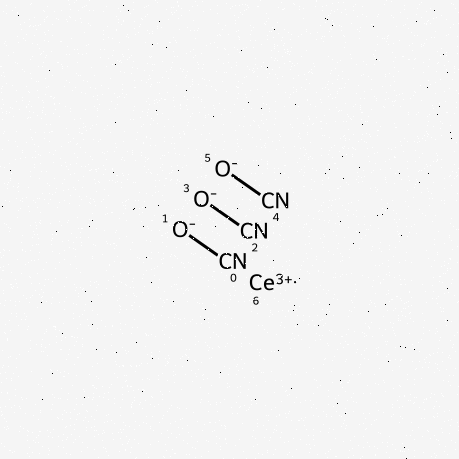 N#C[O-].N#C[O-].N#C[O-].[Ce+3]